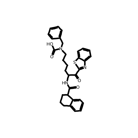 O=C(c1nc2ccccc2s1)C(CCCCN(Cc1ccccc1)C(=O)O)NC(=O)C1CCCc2ccccc21